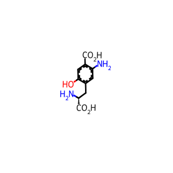 Nc1cc(C[C@H](N)C(=O)O)c(O)cc1C(=O)O